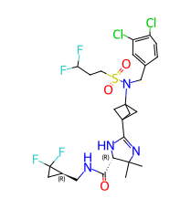 CC1(C)N=C(C23CC(N(Cc4ccc(Cl)c(Cl)c4)S(=O)(=O)CCC(F)F)(C2)C3)N[C@H]1C(=O)NC[C@H]1CC1(F)F